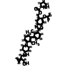 Cc1c(-c2nc3cc(COC(=O)[C@@H]4CCCN4)c(OC(F)F)cc3o2)cccc1-c1cccc(N2CCC(NCC3(CO)CC3)CC2)c1C